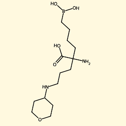 NC(CCCCB(O)O)(CCCNC1CCOCC1)C(=O)O